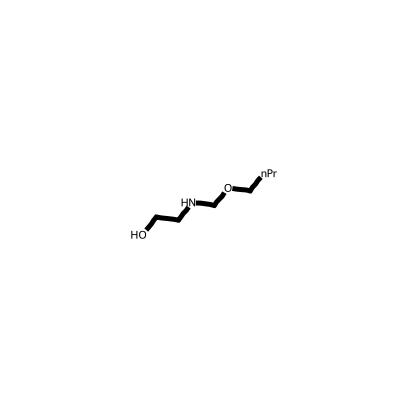 CCCCOCNCCO